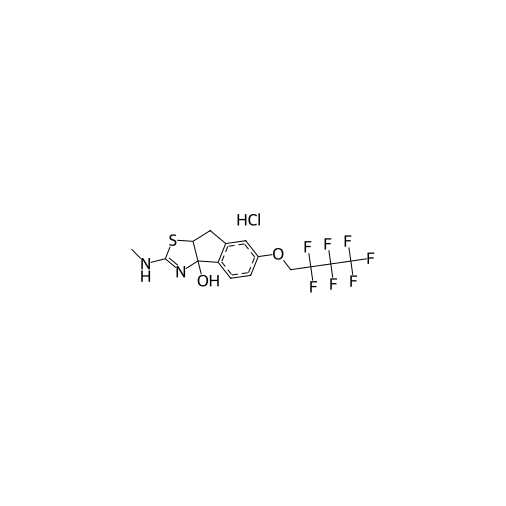 CNC1=NC2(O)c3ccc(OCC(F)(F)C(F)(F)C(F)(F)F)cc3CC2S1.Cl